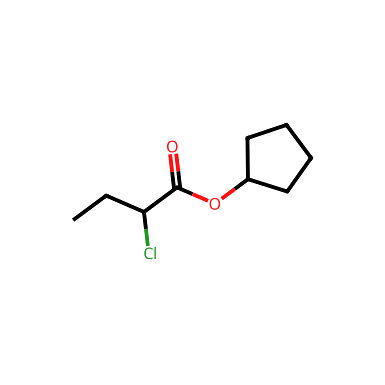 CCC(Cl)C(=O)OC1CCCC1